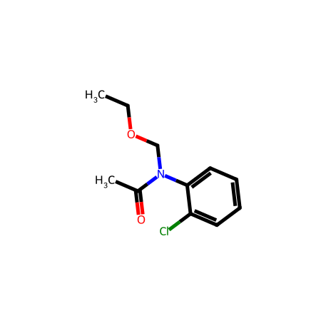 CCOCN(C(C)=O)c1ccccc1Cl